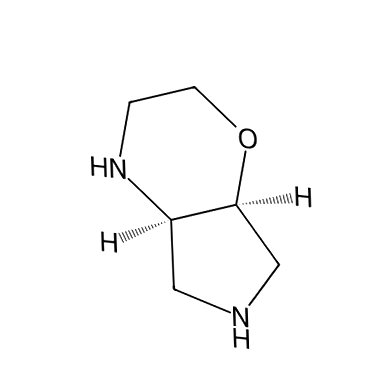 C1CO[C@H]2CNC[C@H]2N1